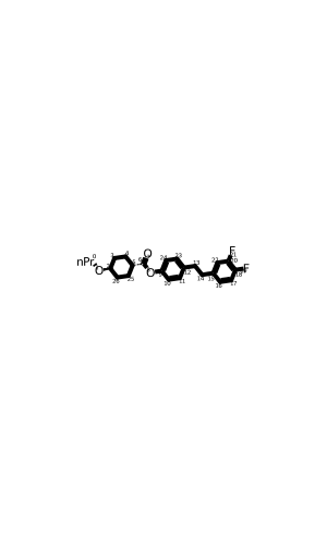 CCCO[C@H]1CC[C@H](C(=O)Oc2ccc(CCc3ccc(F)c(F)c3)cc2)CC1